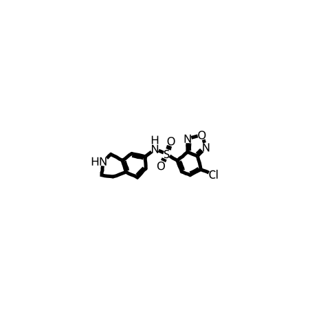 O=S(=O)(Nc1ccc2c(c1)CNCC2)c1ccc(Cl)c2nonc12